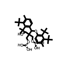 Cc1ccc(OC(c2ccc(C)c(C(C)(C)C)c2C(C)(C)C)C(CO)(COP(O)O)COP(O)O)c(C(C)(C)C)c1C(C)(C)C